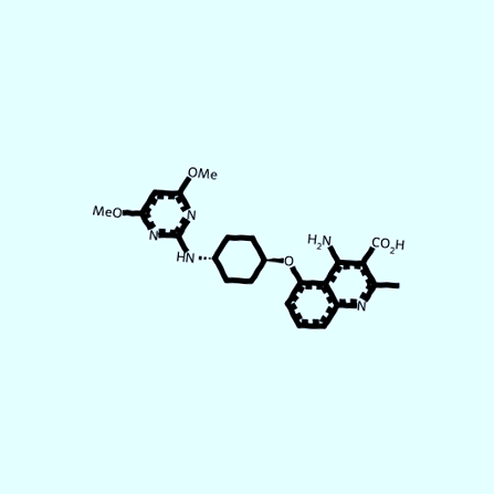 COc1cc(OC)nc(N[C@H]2CC[C@H](Oc3cccc4nc(C)c(C(=O)O)c(N)c34)CC2)n1